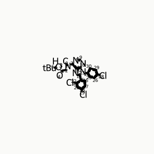 CN(CC(=O)OC(C)(C)C)c1ncnc2c1nc(-c1ccc(Cl)cc1Cl)n2-c1ccc(Cl)cc1